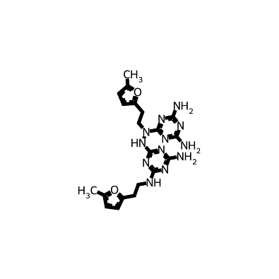 Cc1ccc(CCNc2nc(N)nc(NN(CCc3ccc(C)o3)c3nc(N)nc(N)n3)n2)o1